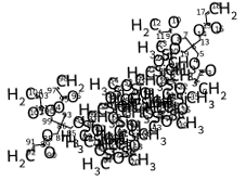 C=CC(=O)OCC(COC(=O)C=C)(COC(=O)C=C)CO[Si](C)(C)O[Si](C)(C)O[Si](C)(C)O[Si](C)(C)O[Si](C)(C)O[Si](C)(C)O[Si](C)(C)O[Si](C)(C)O[Si](C)(C)O[Si](C)(C)O[Si](C)(C)O[Si](C)(C)O[Si](C)(C)O[Si](C)(C)O[Si](C)(C)O[Si](C)(C)OCC(COC(=O)C=C)(COC(=O)C=C)COC(=O)C=C